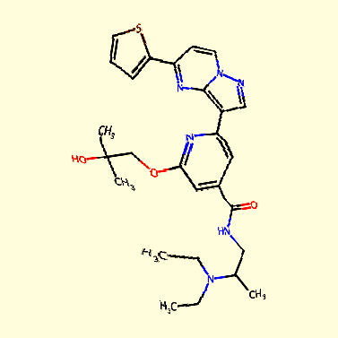 CCN(CC)C(C)CNC(=O)c1cc(OCC(C)(C)O)nc(-c2cnn3ccc(-c4cccs4)nc23)c1